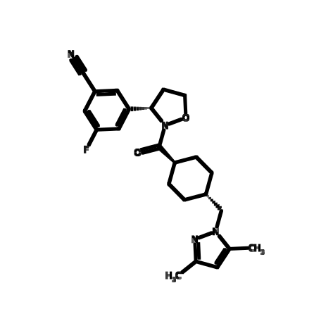 Cc1cc(C)n(C[C@H]2CC[C@H](C(=O)N3OCC[C@H]3c3cc(F)cc(C#N)c3)CC2)n1